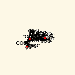 CCCCCCCC/C=C\CCCCCCCC(N)=O.CCCCCCCC/C=C\CCCCCCCC(N)=O.O=C([O-])CN(CCN(CC(=O)[O-])CC(=O)[O-])CCN(CC(=O)[O-])CC(=O)[O-].O=C([O-])CN(CCN(CC(=O)[O-])CC(=O)[O-])CCN(CC(=O)[O-])CC(=O)[O-].O=C([O-])CN(CCN(CC(=O)[O-])CC(=O)[O-])CCN(CC(=O)[O-])CC(=O)[O-].[Gd+3].[Gd+3].[Gd+3].[Gd+3].[Gd+3]